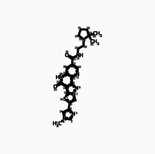 Cn1cnc(-c2cn3nc4c5ncc(C(=O)NCCN6CCCC6(C)C)cc5[nH]c(=O)c4c3s2)c1